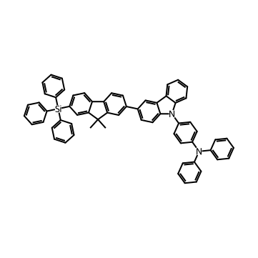 CC1(C)c2cc(-c3ccc4c(c3)c3ccccc3n4-c3ccc(N(c4ccccc4)c4ccccc4)cc3)ccc2-c2ccc([Si](c3ccccc3)(c3ccccc3)c3ccccc3)cc21